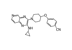 N#Cc1ccc(OC2CCN(c3nc4cnccc4nc3NC3CC3)CC2)cc1